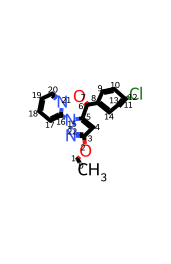 CCOc1cc(C(=O)c2ccc(Cl)cc2)n(-c2ccccn2)n1